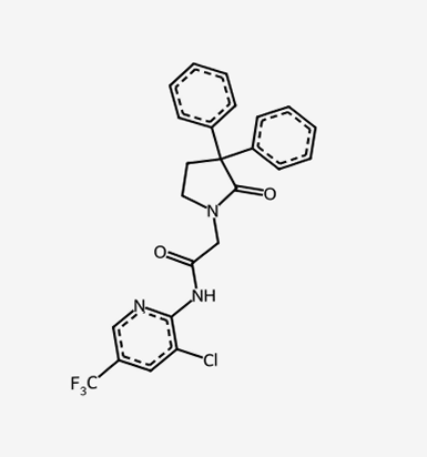 O=C(CN1CCC(c2ccccc2)(c2ccccc2)C1=O)Nc1ncc(C(F)(F)F)cc1Cl